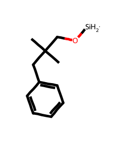 CC(C)(CO[SiH2])Cc1ccccc1